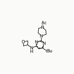 CC(=O)N1CCN(c2nc(NC3COC3)cc(C(C)(C)C)n2)CC1